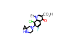 CCn1cc(C(=O)O)c(=O)c2cc(F)c(N3CCNC4(CC4)C3)c(Cl)c21